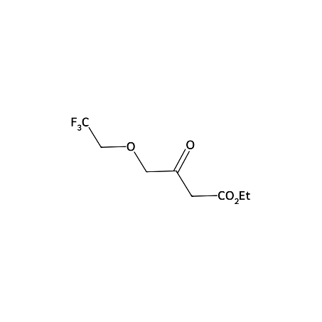 CCOC(=O)CC(=O)COCC(F)(F)F